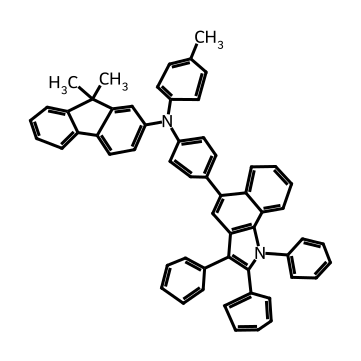 Cc1ccc(N(c2ccc(-c3cc4c(-c5ccccc5)c(-c5ccccc5)n(-c5ccccc5)c4c4ccccc34)cc2)c2ccc3c(c2)C(C)(C)c2ccccc2-3)cc1